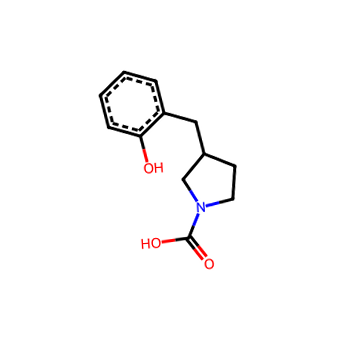 O=C(O)N1CCC(Cc2ccccc2O)C1